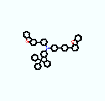 c1ccc(C2(c3ccccc3)c3ccccc3-c3cc(N(c4ccc(-c5ccc(-c6cccc7c6oc6ccccc67)cc5)cc4)c4cccc(-c5ccc6oc7ccccc7c6c5)c4)ccc32)cc1